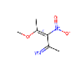 CO/C(C)=C(\C(C)=N)[N+](=O)[O-]